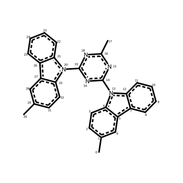 Cc1ccc2c(c1)c1ccccc1n2-c1nc(C)nc(-n2c3ccccc3c3cc(C)ccc32)n1